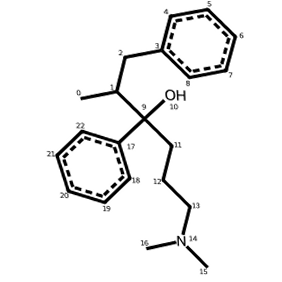 CC(Cc1ccccc1)C(O)(CCCN(C)C)c1ccccc1